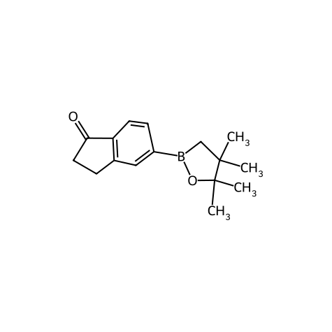 CC1(C)CB(c2ccc3c(c2)CCC3=O)OC1(C)C